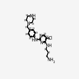 NCCCNc1nc(Nc2ccc(CN3CCNCC3)cc2)ncc1Cl